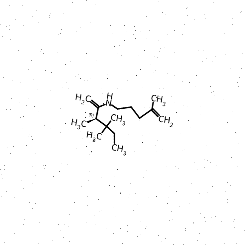 C=C(C)CCCNC(=C)[C@H](C)C(C)(C)CC